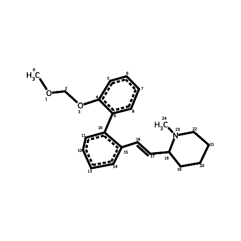 COCOc1ccccc1-c1ccccc1C=CC1CCCCN1C